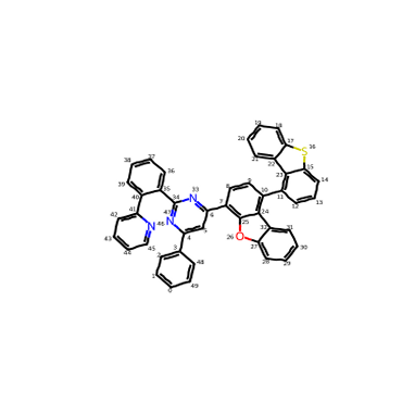 c1ccc(-c2cc(-c3ccc(-c4cccc5sc6ccccc6c45)c4c3oc3ccccc34)nc(-c3ccccc3-c3ccccn3)n2)cc1